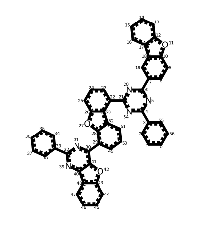 c1ccc(-c2nc(-c3ccc4oc5ccccc5c4c3)nc(-c3cccc4oc5c(-c6nc(-c7ccccc7)nc7c6oc6ccccc67)cccc5c34)n2)cc1